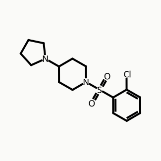 O=S(=O)(c1ccccc1Cl)N1CCC(N2CCCC2)CC1